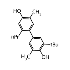 CCCc1cc(O)c(C)cc1-c1cc(C)c(O)c(C(C)(C)C)c1